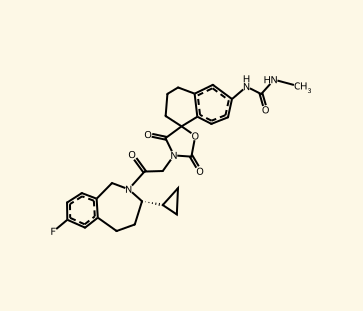 CNC(=O)Nc1ccc2c(c1)CCCC21OC(=O)N(CC(=O)N2Cc3ccc(F)cc3CC[C@H]2C2CC2)C1=O